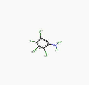 Fc1cc(N(F)Br)c(F)c(F)c1F